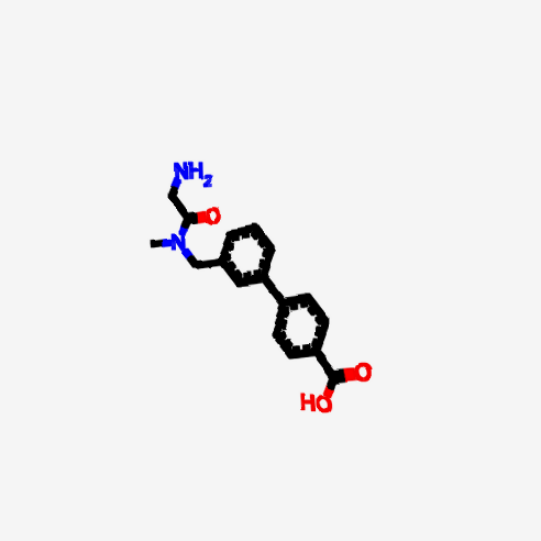 CN(Cc1cccc(-c2ccc(C(=O)O)cc2)c1)C(=O)CN